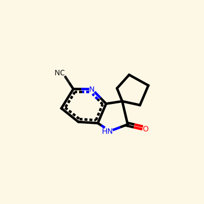 N#Cc1ccc2c(n1)C1(CCCC1)C(=O)N2